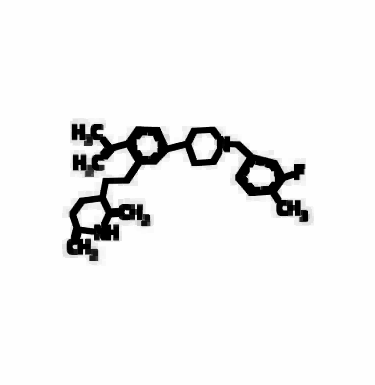 C=C1CCC(CCc2cc(C3CCN(Cc4ccc(C)c(F)c4)CC3)ccc2C(=C)C)C(=C)N1